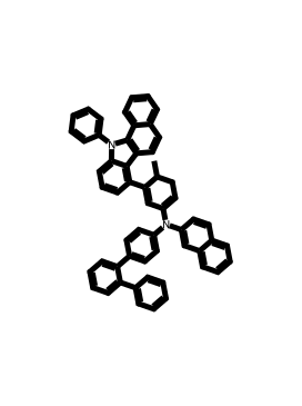 CC1CC=C(N(c2ccc(-c3ccccc3-c3ccccc3)cc2)c2ccc3ccccc3c2)C=C1c1cccc2c1c1ccc3ccccc3c1n2-c1ccccc1